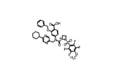 COc1c(F)c(F)c(S(=O)(=O)N2CC[C@@H]2C(=O)N(Cc2cnc(C3CCCCC3)cn2)c2ccc(C(=O)O)c(OCc3ccccc3)c2)c(F)c1F